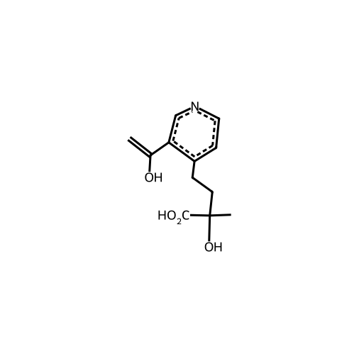 C=C(O)c1cnccc1CCC(C)(O)C(=O)O